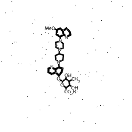 COc1cc(N2CCN(C3CCN(c4ccc(OC5OC(C(=O)O)C(O)C(C)C5O)c5cccnc45)CC3)CC2)c2ncccc2c1